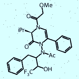 COCC(=O)N1C=C(c2ccccc2)N(N(C(C)=O)C(Cc2ccccc2)C(O)C(F)(F)F)C(=O)[C@H]1C(C)C